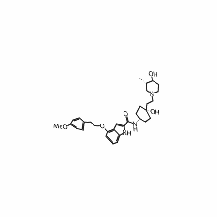 COc1ccc(CCOc2cccc3[nH]c(C(=O)N[C@H]4CC[C@](O)(CCN5CC[C@H](O)[C@@H](C)C5)CC4)cc23)cc1